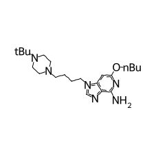 CCCCOc1cc2c(ncn2CCCCN2CCN(C(C)(C)C)CC2)c(N)n1